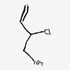 [CH]=CC(Cl)CCCC